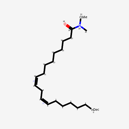 CCCCCCCCCCCCCCC/C=C\C/C=C\CCCCCCCC(=O)N(C)OC